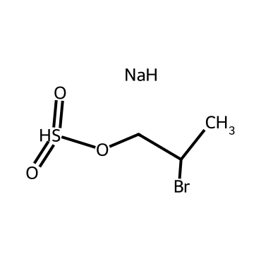 CC(Br)CO[SH](=O)=O.[NaH]